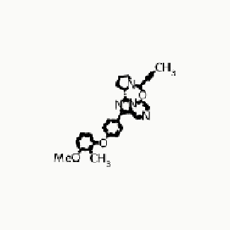 CC#CC(=O)N1CCC[C@H]1c1nc(-c2ccc(Oc3cccc(OC)c3C)cc2)c2cnccn12